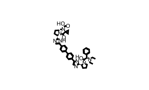 CCN(CC)[C@@H](C(=O)N1CCC[C@H]1c1ncc(-c2ccc(-c3ccc(-c4cnc([C@@H]5CCCN5C(=O)C5(N(C)C(=O)O)CC5)[nH]4)cc3)cc2)[nH]1)c1ccccc1